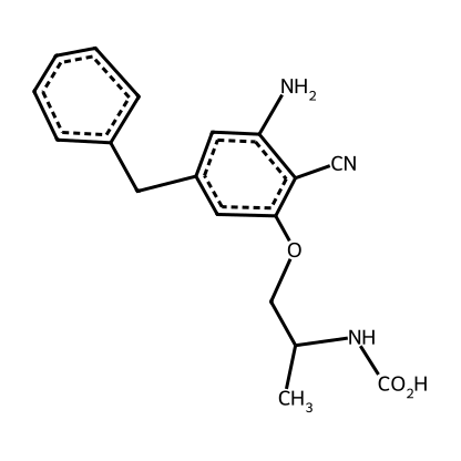 CC(COc1cc(Cc2ccccc2)cc(N)c1C#N)NC(=O)O